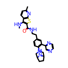 CNc1c(C(=O)NCCc2ccc(N3CC4CCC(C3)N4)c(-c3cnccn3)c2)sc2nc(C)ccc12